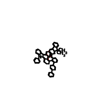 CC1(C)c2ccccc2-c2ccc(N(c3ccc4c(c3)c3ccccc3n4-c3ccccc3)c3cccc(-c4ccc(-c5ccccc5)cc4)c3C3=C(c4ccccc4)C=CCC3)cc21